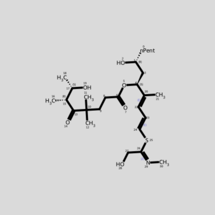 CCCCC[C@@H](O)C[C@H](OC(=O)CCC(C)(C)C(=O)[C@H](C)[C@H](C)O)/C(C)=C/C=C/S/C(CO)=N\C